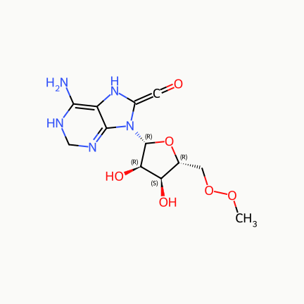 COOC[C@H]1O[C@@H](N2C(=C=O)NC3=C(N)NCN=C32)[C@H](O)[C@@H]1O